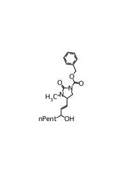 CCCCCC(O)C=CC1CN(C(=O)OCc2ccccc2)C(=O)N1C